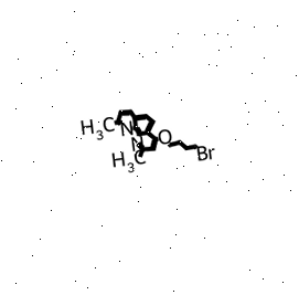 Cc1ccc2ccc3c(OCCCCBr)cc(C)nc3c2n1